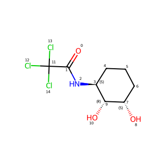 O=C(N[C@H]1CCC[C@H](O)[C@@H]1O)C(Cl)(Cl)Cl